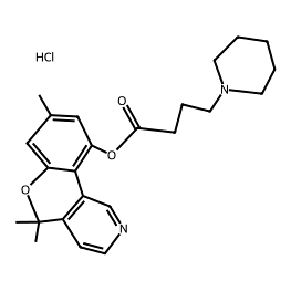 Cc1cc(OC(=O)CCCN2CCCCC2)c2c(c1)OC(C)(C)c1ccncc1-2.Cl